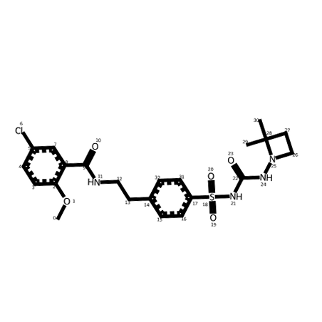 COc1ccc(Cl)cc1C(=O)NCCc1ccc(S(=O)(=O)NC(=O)NN2CCC2(C)C)cc1